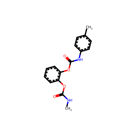 CNC(=O)Oc1ccccc1OC(=O)Nc1ccc(C)cc1